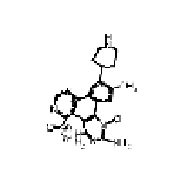 Cc1cc(C2=C(c3cccnc3S(=O)(=O)C(C)C)C(N)=NC(N)N2Cl)c(OC(C)C)cc1C1CCNCC1